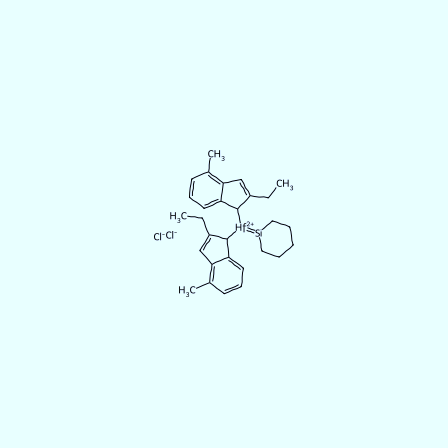 CCC1=Cc2c(C)cccc2[CH]1[Hf+2]([CH]1C(CC)=Cc2c(C)cccc21)=[Si]1CCCCC1.[Cl-].[Cl-]